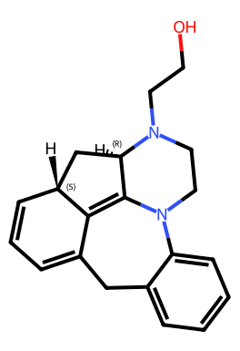 OCCN1CCN2C3=C4C(=CC=C[C@@H]4C[C@H]31)Cc1ccccc12